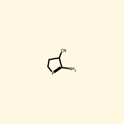 N#CC1CCP=C1N